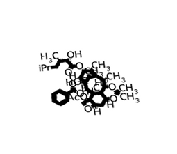 CC(=O)O[C@@]12CO[C@@H]1C[C@@H]1OC(C)(C)O[C@H]3[C@H](C)C4=C(C)[C@@H](OC(=O)[C@H](O)[C@@H](C)CC(C)C)C[C@@](O)([C@@H](OC(=O)c5ccccc5)[C@H]2[C@@]13C)C4(C)C